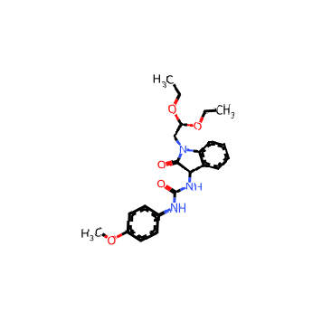 CCOC(CN1C(=O)C(NC(=O)Nc2ccc(OC)cc2)c2ccccc21)OCC